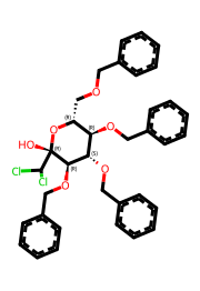 O[C@@]1(C(Cl)Cl)O[C@H](COCc2ccccc2)[C@@H](OCc2ccccc2)[C@H](OCc2ccccc2)[C@H]1OCc1ccccc1